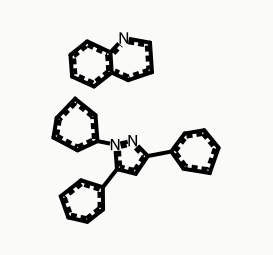 c1ccc(-c2cc(-c3ccccc3)n(-c3ccccc3)n2)cc1.c1ccc2ncccc2c1